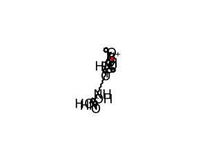 O=C(NC(c1ccccc1)c1c(F)ccc(OCCCCCCCCCNC[C@@H](O)c2ccc(O)c3[nH]c(=O)ccc23)c1F)O[C@H]1C[N+]2(CC(=O)c3ccccc3)CCC1CC2